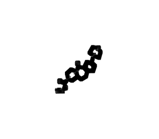 CC(C)(C)OC(=O)N1CCN2C(=O)c3cc(N4CCOCC4)ccc3CCC2C1